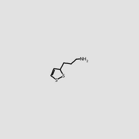 NCCCC1C=CSS1